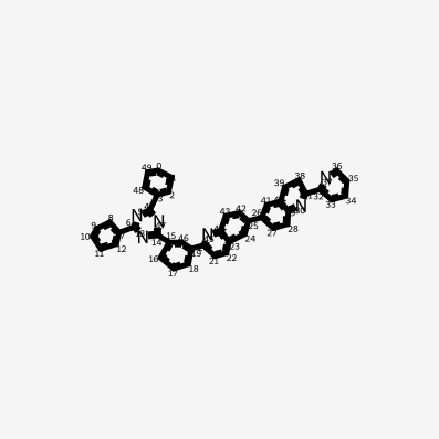 c1ccc(-c2nc(-c3ccccc3)nc(-c3cccc(-c4ccc5cc(-c6ccc7nc(-c8ccccn8)ccc7c6)ccc5n4)c3)n2)cc1